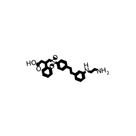 NCCNc1cccc(CCc2ccc(S(=O)(=O)CC(CC(=O)O)c3ccccc3)cc2)c1